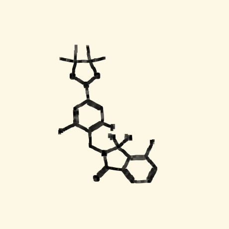 [2H]C1([2H])c2c(F)cccc2C(=O)N1Cc1c(F)cc(B2OC(C)(C)C(C)(C)O2)cc1F